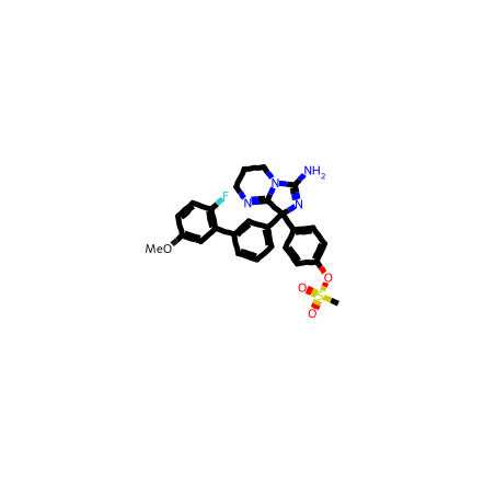 COc1ccc(F)c(-c2cccc(C3(c4ccc(OS(C)(=O)=O)cc4)N=C(N)N4CCCN=C43)c2)c1